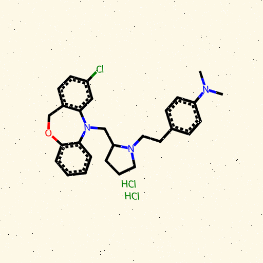 CN(C)c1ccc(CCN2CCCC2CN2c3cc(Cl)ccc3COc3ccccc32)cc1.Cl.Cl